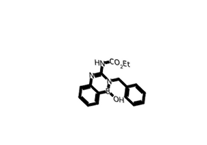 CCOC(=O)NC1=Nc2ccccc2B(O)N1Cc1ccccc1